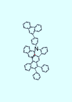 c1ccc(-c2c(-c3ccccc3)c3cc(-c4ccccc4N(c4ccc(-c5cc6ccccc6c6ccccc56)cc4)c4cccc5ccccc45)ccc3c3ccccc23)cc1